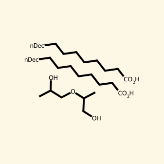 CC(O)COC(C)CO.CCCCCCCCCCCCCCCCCC(=O)O.CCCCCCCCCCCCCCCCCC(=O)O